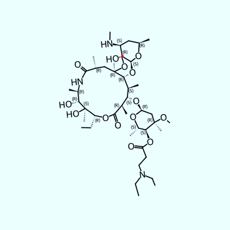 CC[C@H]1OC(=O)[C@H](C)[C@@H](O[C@H]2C[C@@](C)(OC)[C@@H](OC(=O)CCN(CC)CC)[C@H](C)O2)[C@H](C)[C@@H](O[C@@H]2O[C@H](C)C[C@H](NC)[C@H]2O)[C@](C)(OC)C[C@@H](C)C(=O)N[C@H](C)[C@@H](O)[C@]1(C)O